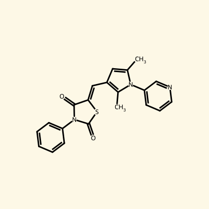 Cc1cc(C=C2SC(=O)N(c3ccccc3)C2=O)c(C)n1-c1cccnc1